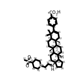 CC1(C)C(c2ccc(C(=O)O)cc2)=CC[C@@]2(C)C1CC[C@]1(C)C2CC[C@@H]2C3CCC[C@]3(NCCN3CCC(S(C)(=O)=O)CC3)CC[C@]21C